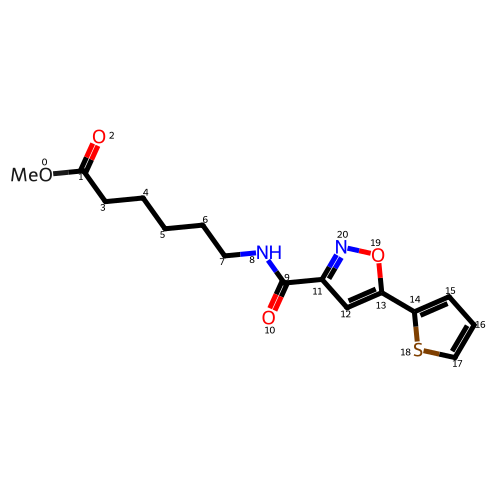 COC(=O)CCCCCNC(=O)c1cc(-c2cccs2)on1